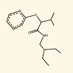 CCN(CC)CNC(=O)C(Sc1ccccn1)C(C)C